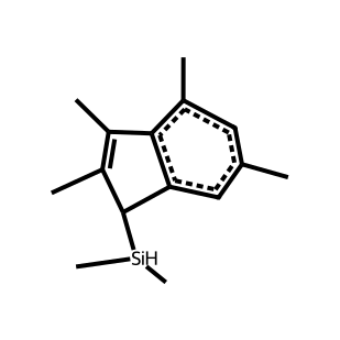 CC1=C(C)C([SiH](C)C)c2cc(C)cc(C)c21